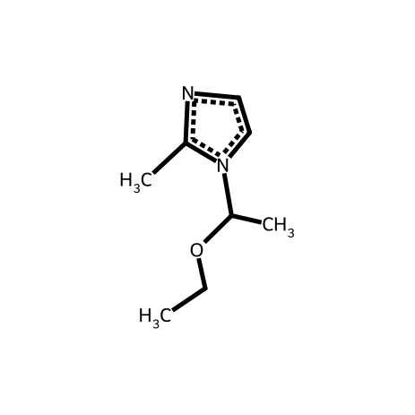 CCOC(C)n1ccnc1C